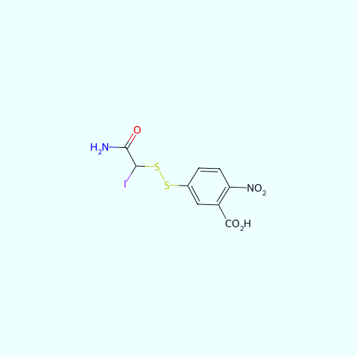 NC(=O)C(I)SSc1ccc([N+](=O)[O-])c(C(=O)O)c1